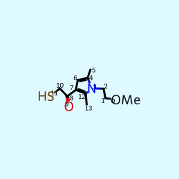 COCCn1c(C)cc(C(=O)CS)c1C